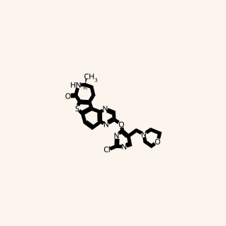 C[C@@H]1CCc2c(sc3ccc4nc(Oc5nc(Cl)ncc5CN5CCOCC5)cnc4c23)C(=O)N1